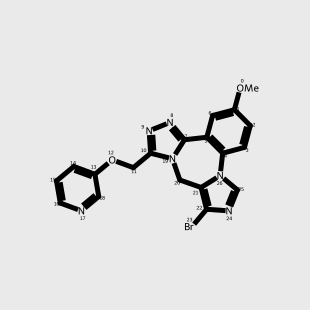 COc1ccc2c(c1)-c1nnc(COc3cccnc3)n1Cc1c(Br)ncn1-2